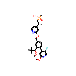 COc1cc(-c2ccc(COc3cc([C@H](C)CP(C)(=O)O)ccn3)cc2[C@@H](OC)C(C)(C)C)c(F)cn1